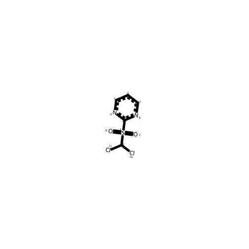 O=S(=O)(c1ncccn1)C(Cl)Cl